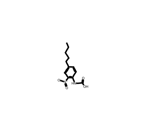 CCCCCc1ccc(NC(=O)O)c([N+](=O)[O-])c1